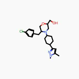 Cc1cc(C2CCC(N3CC(CO)OCC3Cc3ccc(Cl)cc3)CC2)nn1C